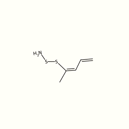 C=C/C=C(/C)SSN